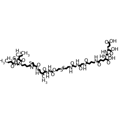 CCCC(=O)OCN(CCCc1nc(C(=O)NCC[C@H](C)C(=O)NNC(=O)OCCSSCCNC(=O)CNC(=O)CNC(=O)CCCNC(=O)CCC(NC(=O)N[C@@H](CCC(=O)O)C(=O)O)C(=O)O)cs1)C(=O)C(NC)C(C)CC